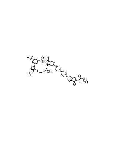 Cc1cc2cc(n1)-c1cnn(C)c1OCCC[C@@H](C)CN1/C(=N/C2=O)Nc2ccc(N3CCN(C4CCN(c5ccc6c(c5)CN([C@H]5CCC(=O)NC5=O)C6=O)CC4)CC3)cc21